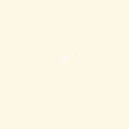 COC1Cc2ccccc2N1[N+](=O)[O-]